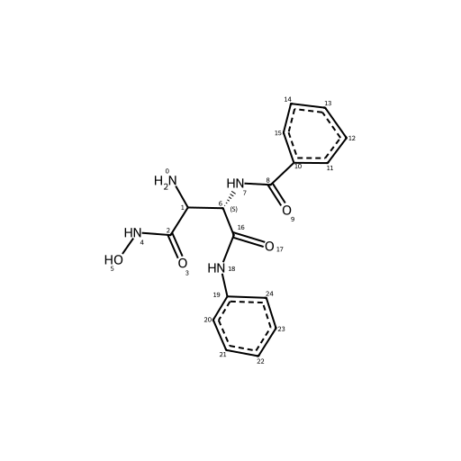 NC(C(=O)NO)[C@H](NC(=O)c1ccccc1)C(=O)Nc1ccccc1